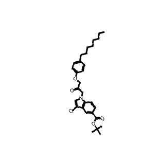 CCCCCCCCc1ccc(OCC(=O)Cn2cc(Cl)c3cc(C(=O)OC(C)(C)C)ccc32)cc1